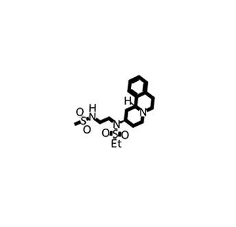 CCS(=O)(=O)N(CCNS(C)(=O)=O)[C@@H]1CCN2CCc3ccccc3[C@@H]2C1